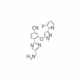 Cn1nc(-c2ncccc2F)cc1Oc1cc(C#N)ccc1-c1ncc(CN)cn1